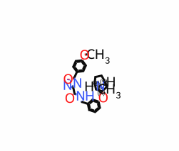 COc1ccc(-c2nc(C(=O)NCc3cccc(O[C@H]4C[C@H]5CC[C@@H](C4)N5C)c3)no2)cc1